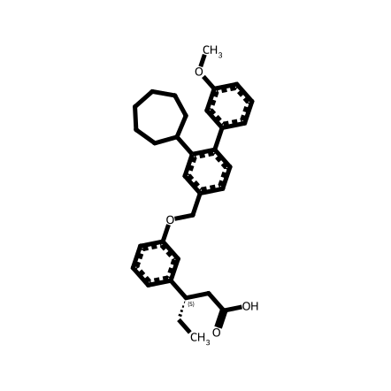 CC[C@@H](CC(=O)O)c1cccc(OCc2ccc(-c3cccc(OC)c3)c(C3CCCCCC3)c2)c1